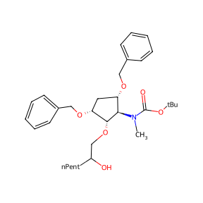 CCCCCC(O)CO[C@H]1[C@H](N(C)C(=O)OC(C)(C)C)[C@@H](OCc2ccccc2)C[C@H]1OCc1ccccc1